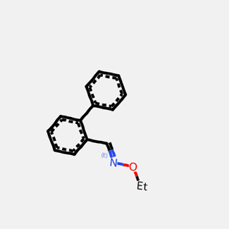 CCO/N=C/c1ccccc1-c1ccccc1